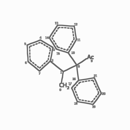 [CH2]C(c1ccccc1)C(C(C)=O)(c1ccccc1)c1ccccc1